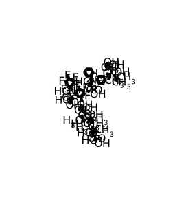 CC(C)(C)N(C(C)(C)C)P(=O)(O)SP(=O)(O)O.CC(C)N(C(C)C)P(=O)(O)SP(=O)(O)O.CN(C)P(=O)(O)SP(=O)(O)O.O=P(O)(O)SP(=O)(O)N(c1c(F)c(F)c(F)c(F)c1F)c1c(F)c(F)c(F)c(F)c1F.O=P(O)(O)SP(=O)(O)N(c1ccccc1)c1ccccc1